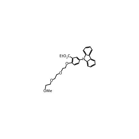 CCOC(=O)c1cc(-n2c3ccccc3c3ccccc32)ccc1OCCOCCOCCOC